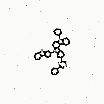 c1ccc(-c2cncc(-c3ccc4c5c6c7ccccc7n(-c7ccccc7)c6ccc5n(-c5ccc6c(c5)sc5ccccc56)c4c3)n2)cc1